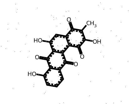 Cc1c(O)c(=O)c2c(cc(O)c3c(=O)c4c(O)cccc4c(=O)c32)c1=O